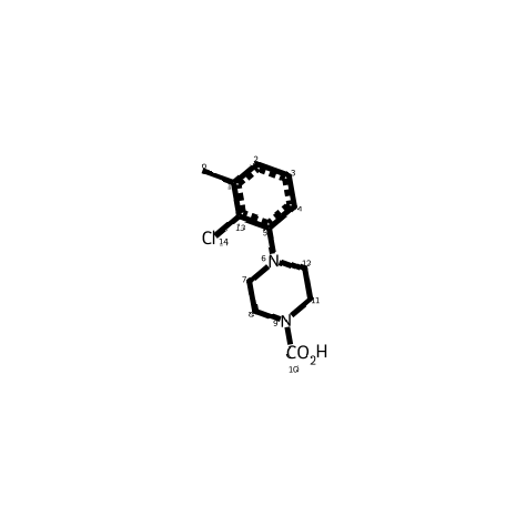 Cc1cccc(N2CCN(C(=O)O)CC2)c1Cl